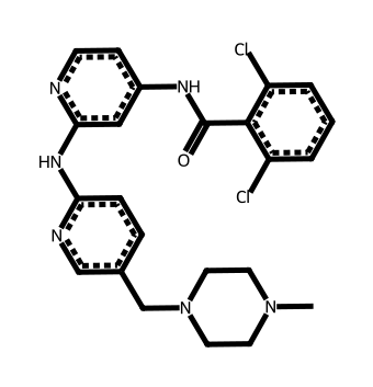 CN1CCN(Cc2ccc(Nc3cc(NC(=O)c4c(Cl)cccc4Cl)ccn3)nc2)CC1